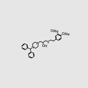 COc1ccc(CCSCC(O)CN2CCN(C(c3ccccc3)c3ccccc3)CC2)cc1OC